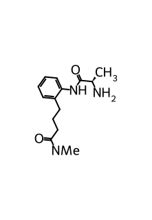 CNC(=O)CCCc1ccccc1NC(=O)[C@@H](C)N